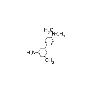 C=C1C=C(N)CC(c2ccc(N(C)C)cc2)C1